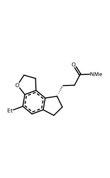 CCc1cc2c(c3c1OCC3)[C@H](CCC(=O)NC)CC2